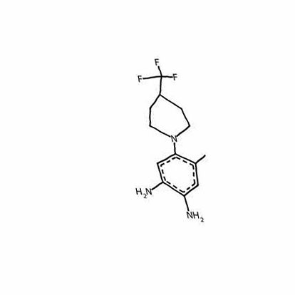 Cc1cc(N)c(N)cc1N1CCC(C(F)(F)F)CC1